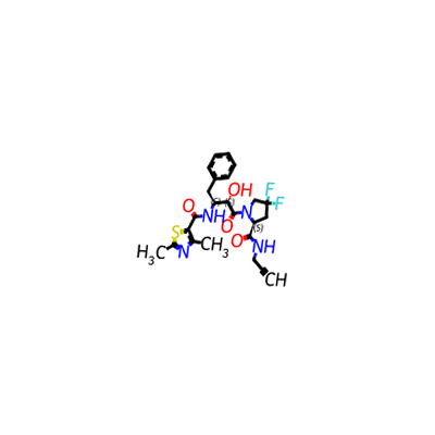 C#CCNC(=O)[C@@H]1CC(F)(F)CN1C(=O)[C@@H](O)[C@H](Cc1ccccc1)NC(=O)c1sc(C)nc1C